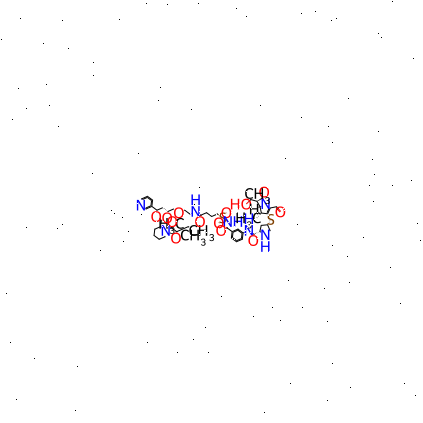 CCC(C)(C)C(=O)C(=O)N1CCCC[C@H]1C(=O)O[C@H](CCc1cccnc1)COCCNC(=O)CCCS(=O)(=O)NC(=O)c1cccc(NC(=O)[C@@H]2C[C@H](SC3=C(C=O)N4C(=O)[C@H]([C@@H](C)O)[C@H]4[C@H]3C)CN2)c1